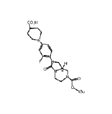 CC(C)(C)OC(=O)N1CCN2C(=O)N(c3ccc(N4CCC(C(=O)O)CC4)cc3F)C[C@@H]2C1